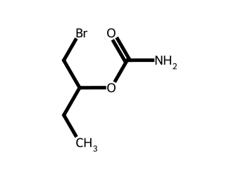 CCC(CBr)OC(N)=O